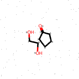 O=C1CCCC1.OCCO